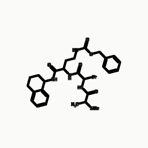 CNC(C)C(=O)NC(C(=O)NC(CCNC(=O)OCc1ccccc1)C(=O)NC1CCCc2ccccc21)C(C)C